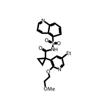 CCc1cnc(OCCOC)c(C2(C(=O)NS(=O)(=O)c3cccc4ncccc34)CC2)c1